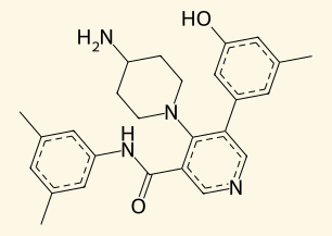 Cc1cc(C)cc(NC(=O)c2cncc(-c3cc(C)cc(O)c3)c2N2CCC(N)CC2)c1